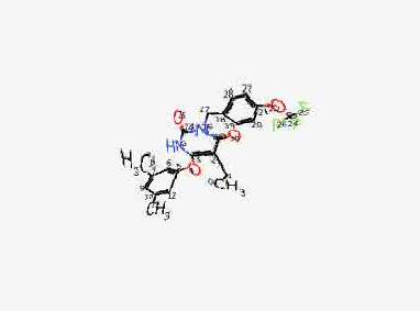 CCc1c(Oc2cc(C)cc(C)c2)[nH]c(=O)n(Cc2ccc(OC(F)(F)F)cc2)c1=O